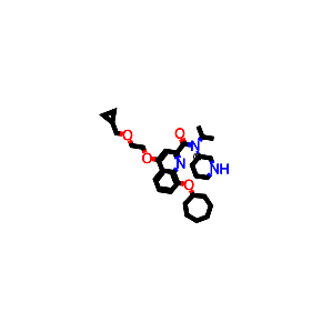 CC(C)N(C(=O)c1cc(OCCOCC2CC2)c2cccc(OC3CCCCCC3)c2n1)[C@@H]1CCCNC1